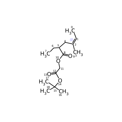 C/C=C(/C)CC(CC)C(=O)OCC(=O)OC(C)(C)C